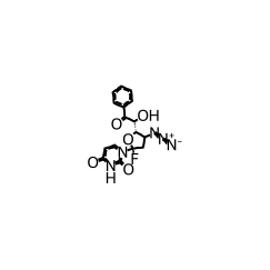 [N-]=[N+]=NC1C[C@](F)(n2ccc(=O)[nH]c2=O)O[C@@H]1C(O)C(=O)c1ccccc1